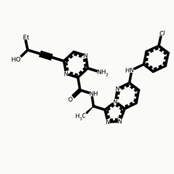 CCC(O)C#Cc1cnc(N)c(C(=O)N[C@H](C)c2nnc3ccc(Nc4cccc(Cl)c4)nn23)n1